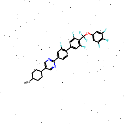 CCCCC1CCC(c2cnc(-c3ccc(-c4cc(F)c(C(F)(F)Oc5cc(F)c(F)c(F)c5)c(F)c4)c(F)c3)nc2)CC1